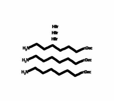 Br.Br.Br.CCCCCCCCCCCCCCCCN.CCCCCCCCCCCCCCCCN.CCCCCCCCCCCCCCCCN